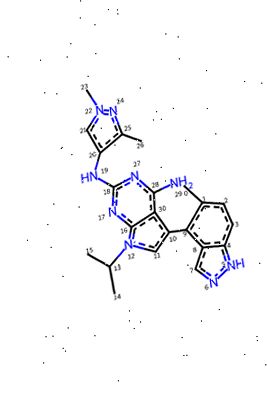 Cc1ccc2[nH]ncc2c1-c1cn(C(C)C)c2nc(Nc3cn(C)nc3C)nc(N)c12